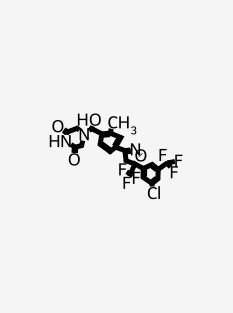 Cc1cc(C2=NOC(c3cc(Cl)cc(C(F)(F)F)c3)(C(F)(F)F)C2)ccc1C(O)N1CC(=O)NC(=O)C1